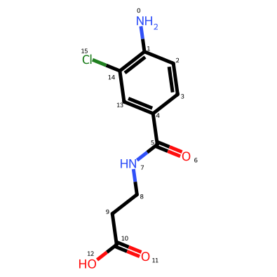 Nc1ccc(C(=O)NCCC(=O)O)cc1Cl